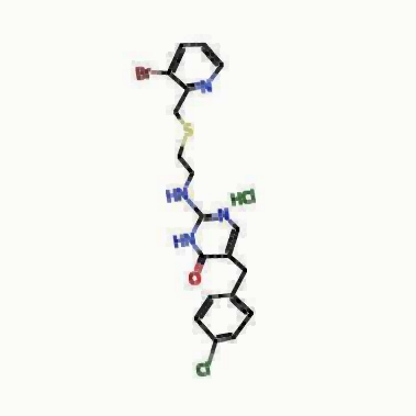 Cl.O=c1[nH]c(NCCSCc2ncccc2Br)ncc1Cc1ccc(Cl)cc1